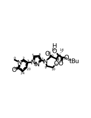 Cn1cc(-n2ccc(N3CCO[C@H]([C@@](C)(O)C(=O)OC(C)(C)C)C3=O)n2)ccc1=O